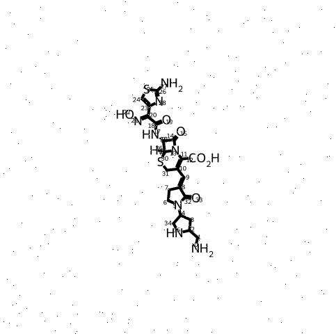 NCC1CC(N2CCC(=CC3=C(C(=O)O)N4C(=O)[C@@H](NC(=O)C(=NO)c5csc(N)n5)[C@H]4SC3)C2=O)CN1